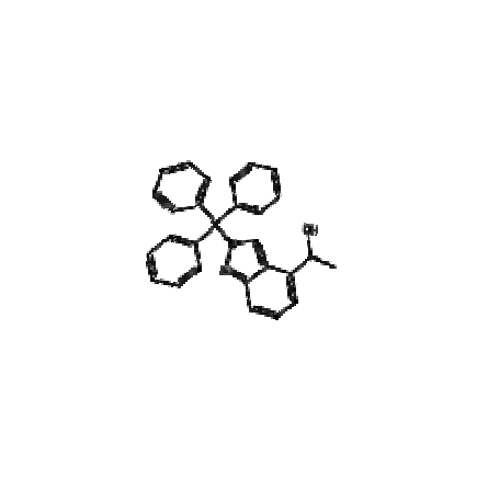 C[C](O)c1cccc2nn(C(c3ccccc3)(c3ccccc3)c3ccccc3)cc12